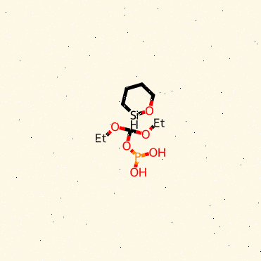 CCOC(OCC)(OP(O)O)[SiH]1CCCCO1